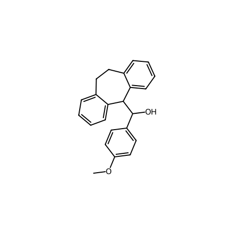 COc1ccc(C(O)C2c3ccccc3CCc3ccccc32)cc1